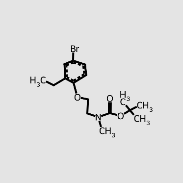 CCc1cc(Br)ccc1OCCN(C)C(=O)OC(C)(C)C